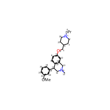 CCCN1CCC(COc2ccc3c(c2)CN(C)CC3c2cccc(OC)c2)CC1